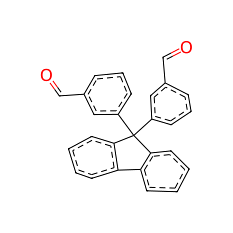 O=Cc1cccc(C2(c3cccc(C=O)c3)c3ccccc3-c3ccccc32)c1